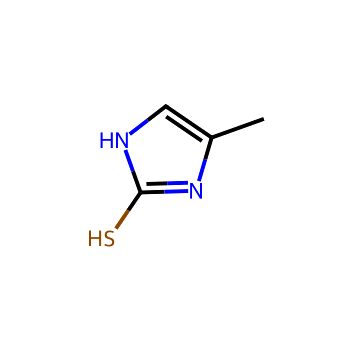 Cc1c[nH]c(S)n1